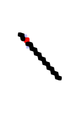 C/C=C/O/C=C/CCCCCCCCCCCCCC